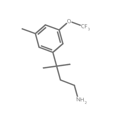 Cc1cc(OC(F)(F)F)cc(C(C)(C)CCN)c1